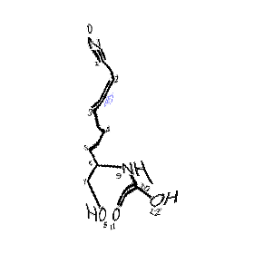 N#C/C=C/CCC(CO)NC(=O)O